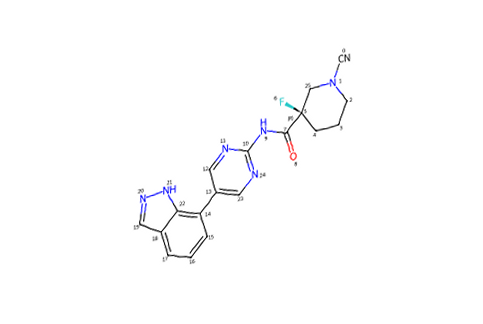 N#CN1CCC[C@](F)(C(=O)Nc2ncc(-c3cccc4cn[nH]c34)cn2)C1